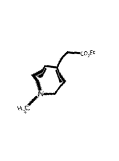 CCOC(=O)CC1=CCN(C)C=C1